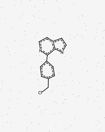 ClCc1ccc(-c2nccn3ccnc23)cc1